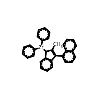 CC1=C(c2cccc3ccccc23)c2ccccc2[CH]1[Zr]([c]1ccccc1)[c]1ccccc1